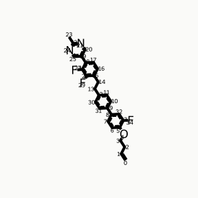 C=CCCOc1ccc(-c2ccc(CCc3ccc(-c4cnc(C)nc4)c(F)c3F)cc2)cc1F